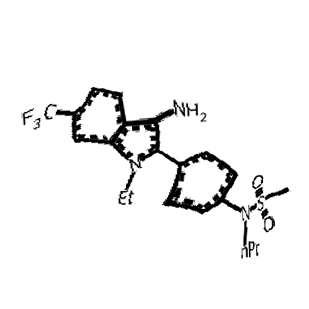 CCCN(c1ccc(-c2c(N)c3ccc(C(F)(F)F)cc3n2CC)cc1)S(C)(=O)=O